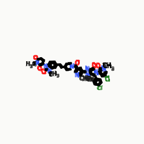 COc1ncc(C(=O)N2CCC(CCc3ccc4c(c3)n(C)c(=O)n4C3CCC(=O)N(C)C3=O)CC2)cc1-c1nc2c(n1C(C)C)[C@H](c1ccc(Cl)cc1)N(c1cc(Cl)cn(C)c1=O)C2=O